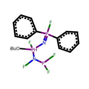 CC(C)CO[PH](F)(N=P(F)(c1ccccc1)c1ccccc1)N(F)P(F)F